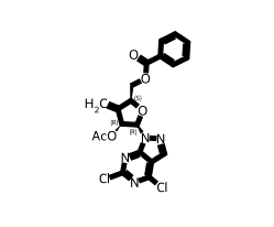 C=C1[C@@H](OC(C)=O)[C@H](n2ncc3c(Cl)nc(Cl)nc32)O[C@@H]1COC(=O)c1ccccc1